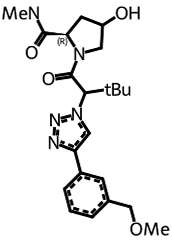 CNC(=O)[C@H]1CC(O)CN1C(=O)C(n1cc(-c2cccc(COC)c2)nn1)C(C)(C)C